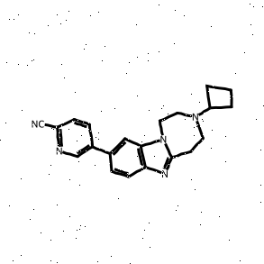 N#Cc1ccc(-c2ccc3nc4n(c3c2)CCN(C2CCC2)CC4)cn1